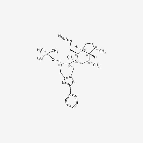 C[C@@H]1C[C@H]([C@@]2(C)Cc3cn(-c4cc[c]cc4)nc3C[C@@H]2CO[Si](C)(C)C(C)(C)C)[C@@H](CN=[N+]=[N-])[C@H]2CC[C@H](C)[C@@H]21